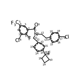 O=C(c1cc(C(F)(F)F)cc(Cl)c1F)N(CCc1ccc(Cl)cc1)Cc1ccc(C2(F)CCC2)cc1